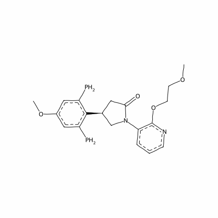 COCCOc1ncccc1N1C[C@@H](c2c(P)cc(OC)cc2P)CC1=O